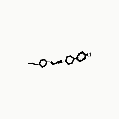 CCC[C@H]1CC[C@H](C=CC#C[C@H]2CC[C@H](c3ccc(Cl)cc3)CC2)CC1